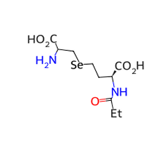 CCC(=O)N[C@@H](CC[Se]CC(N)C(=O)O)C(=O)O